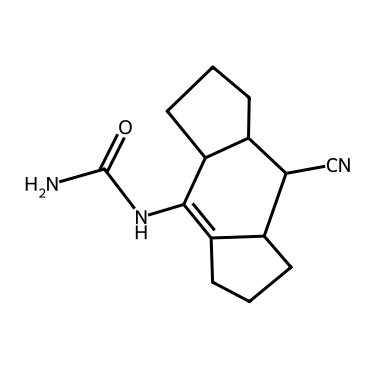 N#CC1C2CCCC2=C(NC(N)=O)C2CCCC21